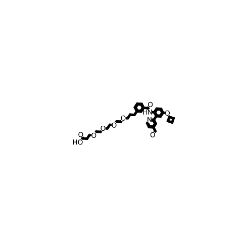 O=Cc1ccnc(-c2cc(OC3CCC3)ccc2NC(=O)c2cccc(CCCOCCOCCOCCOCCC(=O)O)c2)c1